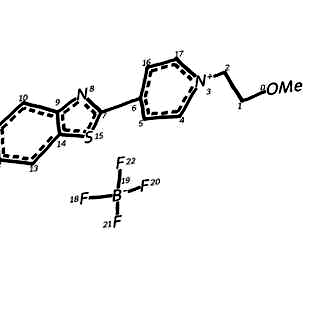 COCC[n+]1ccc(-c2nc3ccccc3s2)cc1.F[B-](F)(F)F